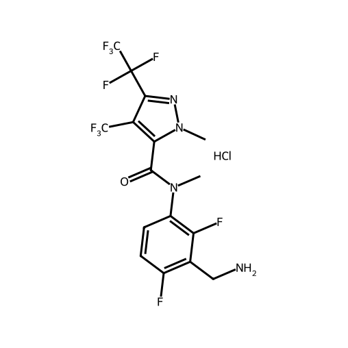 CN(C(=O)c1c(C(F)(F)F)c(C(F)(F)C(F)(F)F)nn1C)c1ccc(F)c(CN)c1F.Cl